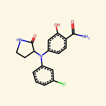 NC(=O)c1ccc(N(c2cccc(Cl)c2)C2CCNC2=O)cc1O